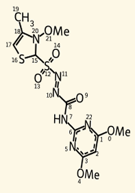 COc1cc(OC)nc(NC(=O)N=NS(=O)(=O)C2SC=C(C)N2OC)n1